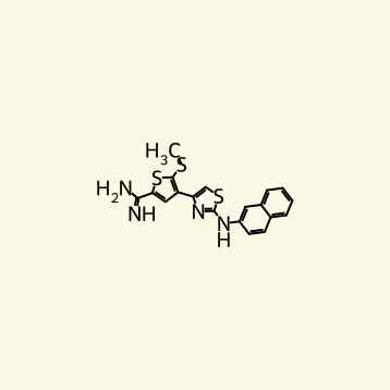 CSc1sc(C(=N)N)cc1-c1csc(Nc2ccc3ccccc3c2)n1